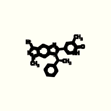 CCc1nn(C)c2cc3c(cc12)nc(-c1c[nH]c(=O)c(C)c1)n3[C@@H](C)c1ccccc1